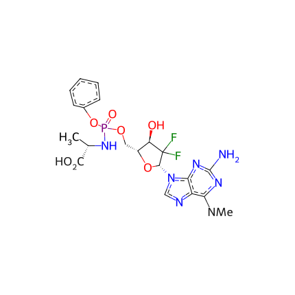 CNc1nc(N)nc2c1ncn2[C@@H]1O[C@H](COP(=O)(N[C@@H](C)C(=O)O)Oc2ccccc2)[C@@H](O)C1(F)F